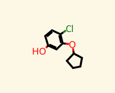 Oc1ccc(Cl)c(OC2CCCC2)c1